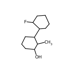 CC1C(O)CCCC1C1CCCCC1F